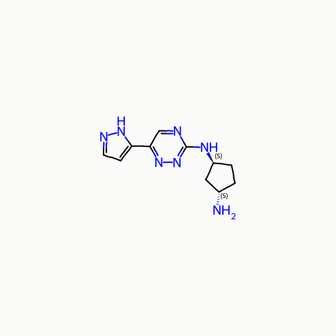 N[C@H]1CC[C@H](Nc2ncc(-c3ccn[nH]3)nn2)C1